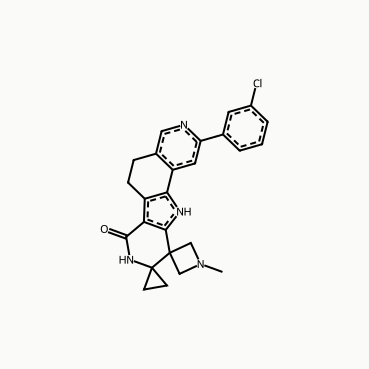 CN1CC2(C1)c1[nH]c3c(c1C(=O)NC21CC1)CCc1cnc(-c2cccc(Cl)c2)cc1-3